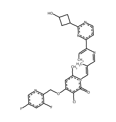 C\C=C(/N=C\C(C)=C\n1c(C)cc(OCc2ncc(F)cc2F)c(Cl)c1=O)c1ccnc(C2CC(O)C2)n1